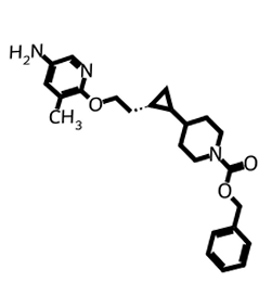 Cc1cc(N)cnc1OCC[C@@H]1CC1C1CCN(C(=O)OCc2ccccc2)CC1